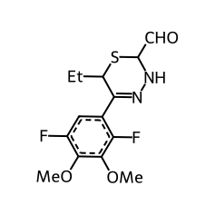 CCC1SC(C=O)NN=C1c1cc(F)c(OC)c(OC)c1F